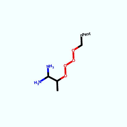 CCCCCCOOOOC(C)C(N)N